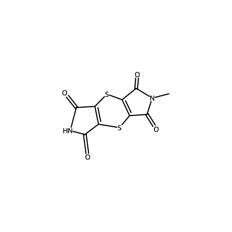 Cn1c(=O)c2sc3c(=O)[nH]c(=O)c3sc2c1=O